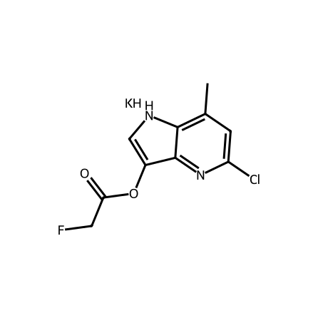 Cc1cc(Cl)nc2c(OC(=O)CF)c[nH]c12.[KH]